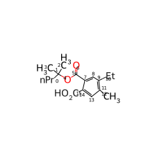 CCCC(C)(C)OC(=O)c1cc(CC)c(C)cc1C(=O)O